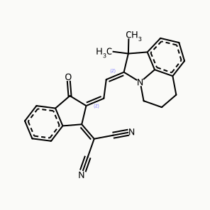 CC1(C)/C(=C/C=C2\C(=O)c3ccccc3C2=C(C#N)C#N)N2CCCc3cccc1c32